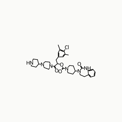 Cc1cc(CC(OC(=O)N2CCC(N3CCc4ccccc4NC3=O)CC2)C(=O)N2CCN(C3CCNCC3)CC2)cc(C)c1Cl